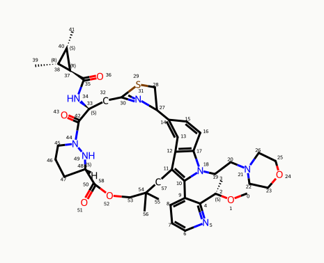 CO[C@@H](C)c1ncccc1-c1c2c3cc(ccc3n1CCN1CCOCC1)C1CSC(=N1)C[C@H](NC(=O)[C@H]1[C@H](C)[C@@H]1C)C(=O)N1CCC[C@H](N1)C(=O)OCC(C)(C)C2